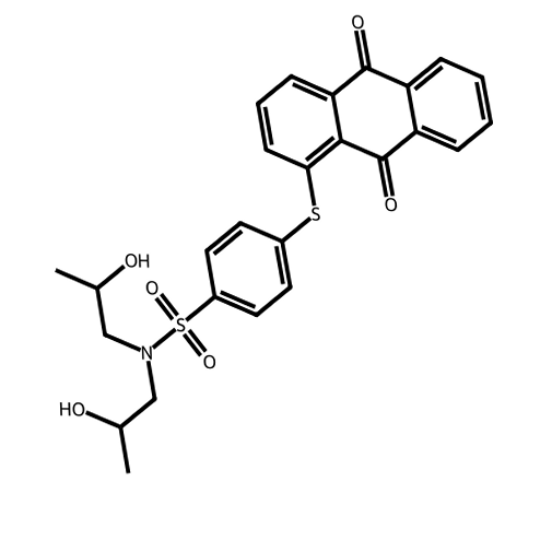 CC(O)CN(CC(C)O)S(=O)(=O)c1ccc(Sc2cccc3c2C(=O)c2ccccc2C3=O)cc1